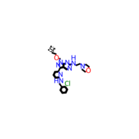 C[Si](C)(C)CCOCn1nc(-c2cccc(NCc3ccccc3Cl)n2)c2cnc(NCCN3CCOCC3)nc21